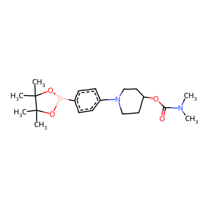 CN(C)C(=O)OC1CCN(c2ccc(B3OC(C)(C)C(C)(C)O3)cc2)CC1